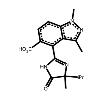 Cc1nn(C)c2ccc(C(=O)O)c(C3=NC(C)(C(C)C)C(=O)N3)c12